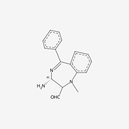 CN1c2ccccc2C(c2ccccc2)=N[C@@H](N)C1C=O